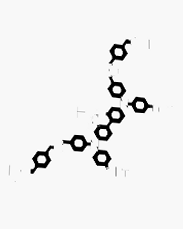 C=Cc1ccc(COCc2ccc(N(c3ccc(CCC)cc3)c3ccc(-c4ccc(N(c5ccc(CCC)cc5)c5ccc(COCc6ccc(C=C)cc6)cc5)cc4C)c(C)c3)cc2)cc1